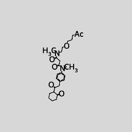 CC(=O)CCCOCCN(C)C(=O)CC(=O)N(C)c1ccc(CC(=O)C2CCCCC2=O)cc1